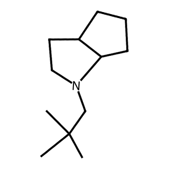 CC(C)(C)CN1CCC2CCCC21